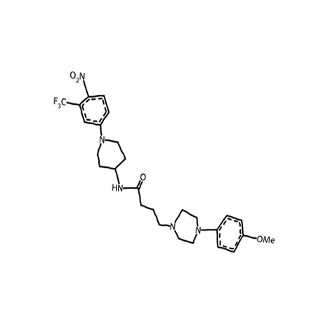 COc1ccc(N2CCN(CCCC(=O)NC3CCN(c4ccc([N+](=O)[O-])c(C(F)(F)F)c4)CC3)CC2)cc1